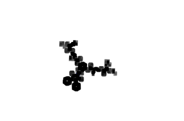 C=C(C)C(=O)OCCN(I)C(=O)Oc1ccc(OC(=O)NCCOC(=O)C(=C)C#N)c2c1S/C(=C1/C(=O)N(C3=CCCC=C3)N(c3ccccc3)C1=O)S2